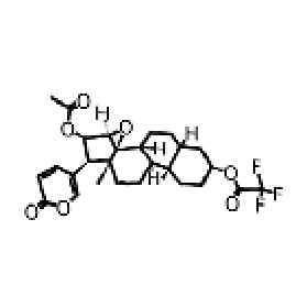 CC(=O)O[C@H]1[C@H]2O[C@]23[C@@H]2CC[C@@H]4C[C@@H](OC(=O)C(F)(F)F)CC[C@]4(C)[C@H]2CC[C@]3(C)[C@H]1c1ccc(=O)oc1